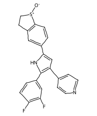 [O-][S+]1CCc2cc(-c3cc(-c4ccncc4)c(-c4ccc(F)c(F)c4)[nH]3)ccc21